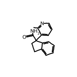 Cc1ncccc1C1(C(N)=O)CCc2ccccc21